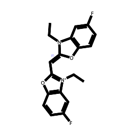 CCN1/C(=C/c2oc3ccc(F)cc3[n+]2CC)Oc2ccc(F)cc21